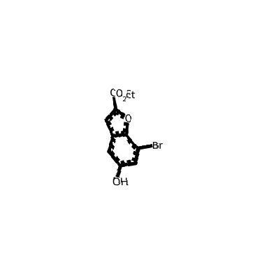 CCOC(=O)c1cc2cc(O)cc(Br)c2o1